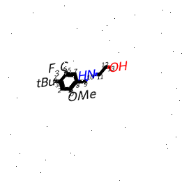 COc1cc(C(C)(C)C)c(C(F)(F)F)cc1CNCCO